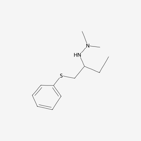 CCC(CSc1ccccc1)NN(C)C